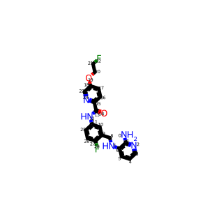 Nc1ncccc1NCc1cc(NC(=O)c2ccc(OCCF)cn2)ccc1F